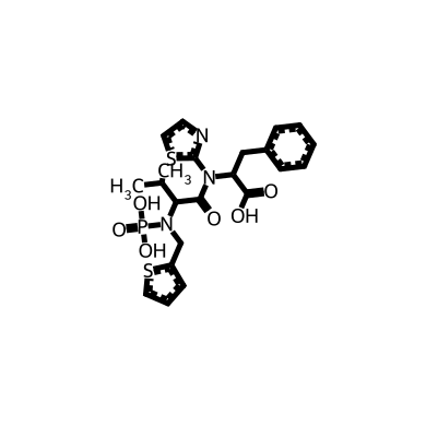 CC(C)C(C(=O)N(c1nccs1)C(Cc1ccccc1)C(=O)O)N(Cc1cccs1)P(=O)(O)O